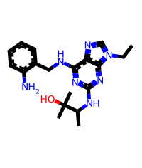 CCn1cnc2c(NCc3ccccc3N)nc(NC(C)C(C)(C)O)nc21